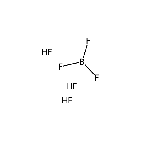 F.F.F.FB(F)F